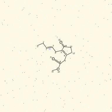 CC/C=C/CC1=C(CC(=O)OC)CCC1=O